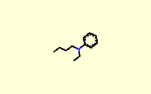 CCCCN(CC)c1cc[c]cc1